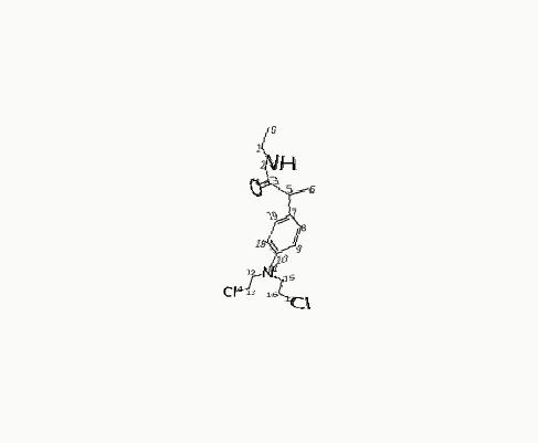 CCNC(=O)C(C)c1ccc(N(CCCl)CCCl)cc1